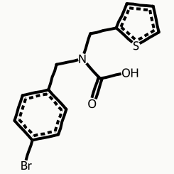 O=C(O)N(Cc1ccc(Br)cc1)Cc1cccs1